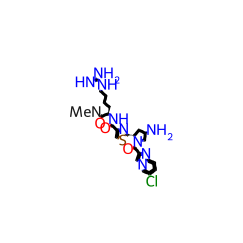 CNC(=O)[C@@H](CCCCNC(=N)N)NC(=O)c1csc([C@@H]2C[C@@H](N)CN2C(=O)c2cn3cc(Cl)ccc3n2)n1